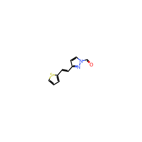 O=Cn1ccc(C=Cc2cccs2)n1